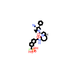 N#C[C@@H]1[C@@H](c2ccccc2)CN(C(=O)[C@@H]2CC[C@@H]3CCCC[C@H](NC(=O)c4ccc5ccc([C@@H](F)P(=O)(O)O)cc5c4)C(=O)N32)C12CC2